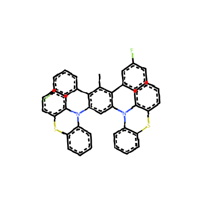 Cc1c(-c2cccc(F)c2)c(N2c3ccccc3Sc3ccccc32)cc(N2c3ccccc3Sc3ccccc32)c1-c1cccc(F)c1